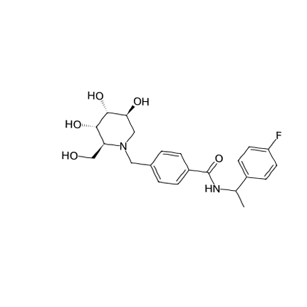 CC(NC(=O)c1ccc(CN2C[C@H](O)[C@@H](O)[C@@H](O)[C@@H]2CO)cc1)c1ccc(F)cc1